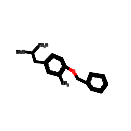 COC(Cc1ccc(OCc2ccccc2)c(C)c1)C(=O)O